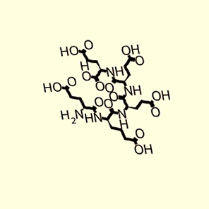 N[C@H](CCC(=O)O)C(=O)N[C@H](CCCC(=O)O)C(=O)N[C@H](CCC(=O)O)C(=O)N[C@H](CCC(=O)O)C(=O)N[C@H](CCC(=O)O)C(=O)O